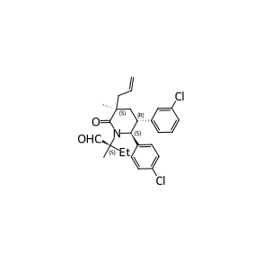 C=CC[C@@]1(C)C[C@H](c2cccc(Cl)c2)[C@@H](c2ccc(Cl)cc2)N([C@](C)(C=O)CC)C1=O